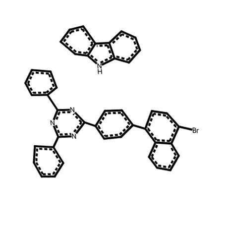 Brc1ccc(-c2ccc(-c3nc(-c4ccccc4)nc(-c4ccccc4)n3)cc2)c2ccccc12.c1ccc2c(c1)[nH]c1ccccc12